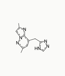 Cc1cn2nc(C)cc(Cc3nnc[nH]3)c2n1